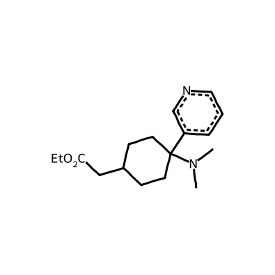 CCOC(=O)CC1CCC(c2cccnc2)(N(C)C)CC1